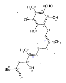 C/C(=C\Cc1c(O)c(Cl)c(C)c(C=O)c1O)CC/C=C(\C)C(O)CC(=O)C(C)(C)C